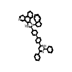 C1=C(c2ccc(-c3ccc(C4Nc5c(c6ccccc6c6ccncc56)N4c4cccc5ccccc45)cc3)cc2)NC(c2ccccc2)N=C1c1ccccc1